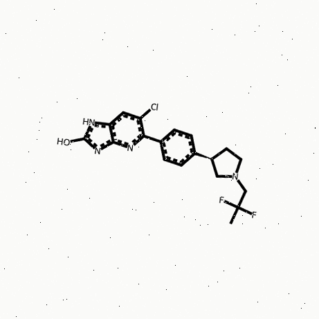 CC(F)(F)CN1CC[C@H](c2ccc(-c3nc4nc(O)[nH]c4cc3Cl)cc2)C1